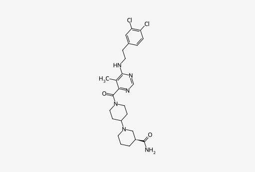 Cc1c(NCCc2ccc(Cl)c(Cl)c2)ncnc1C(=O)N1CCC(N2CCC[C@H](C(N)=O)C2)CC1